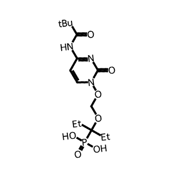 CCC(CC)(OCOn1ccc(NC(=O)C(C)(C)C)nc1=O)P(=O)(O)O